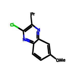 COc1ccc2nc(Cl)c(C(C)C)nc2c1